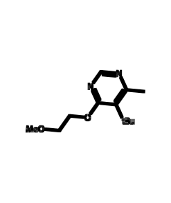 COCCOc1ncnc(C)c1C(C)(C)C